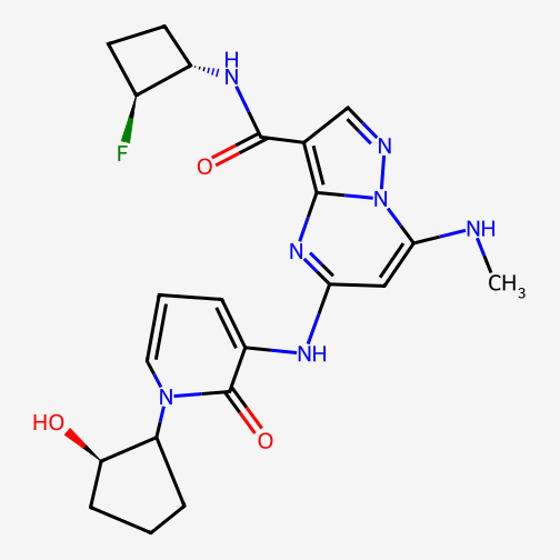 CNc1cc(Nc2cccn(C3CCC[C@H]3O)c2=O)nc2c(C(=O)N[C@H]3CC[C@@H]3F)cnn12